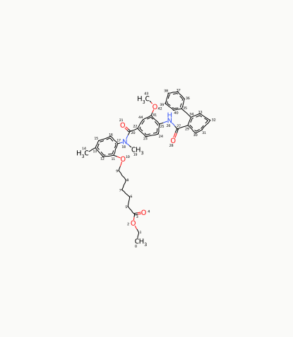 CCOC(=O)CCCCCOc1cc(C)ccc1N(C)C(=O)c1ccc(NC(=O)c2ccccc2-c2ccccc2)c(OC)c1